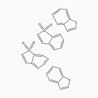 O=S1(=O)C=Cc2ccccc21.O=S1(=O)C=Cc2ccccc21.c1ccc2sccc2c1.c1ccc2sccc2c1